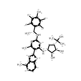 Cc1nc(N[C@H](C)c2c(F)c(F)c(C)c(F)c2F)nc(N[C@@H]2C[C@H](C(C)(C)O)[C@@H](O)[C@H]2O)c1-c1nc2c(C)nccc2s1